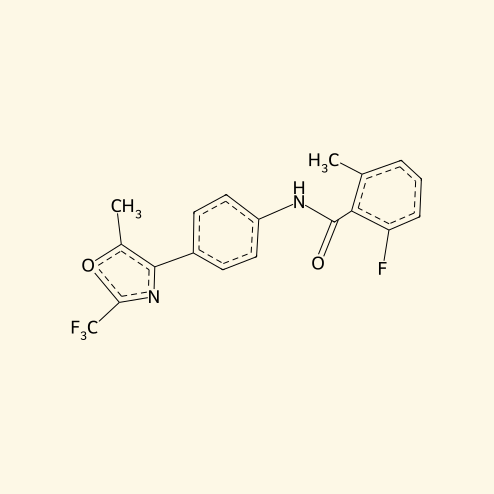 Cc1cccc(F)c1C(=O)Nc1ccc(-c2nc(C(F)(F)F)oc2C)cc1